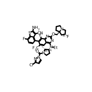 CCN(c1nc(OC[C@@]23CCCN2C[C@H](F)C3)nc2c(F)c(-c3ccc(F)c4sc(N)c(C#N)c34)c(C(F)(F)F)cc12)[C@@H]1CCN(C(=O)n2ccc(Cl)n2)[C@@H]1C